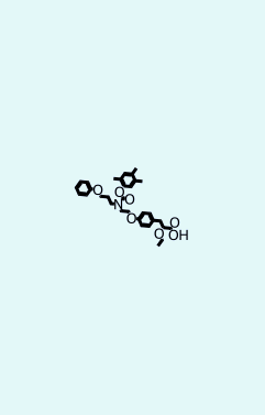 CCOC(Cc1ccc(OCCN(CCCOc2ccccc2)C(=O)Oc2cc(C)c(C)cc2C)cc1)C(=O)O